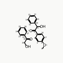 COc1ccc(C(=O)C(O)c2ccccc2)cc1.O=C(CO)c1ccccc1